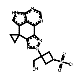 CCS(=O)(=O)N1CC(CC#N)(n2nc3c(n2)C2(CC2)c2c[nH]c4ncnc-3c24)C1